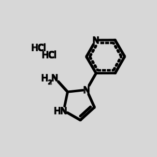 Cl.Cl.NC1NC=CN1c1cccnc1